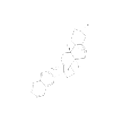 C[C@]12CC[C@H]3[C@@H](CC=C4C[C@@H](O)CC[C@@]43C)[C@@H]1CC[C@@H]2c1ccc2ccncc2c1